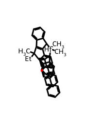 CCC1(C)C2=C(c3ccc(-c4ccccc4)cc3)[CH](c3ccccc32)[Hf]([CH3])([CH3])[CH]2C(c3ccc(-c4ccccc4)cc3)=C1c1ccccc12